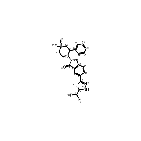 O=C1c2cc(C3=NNC(C(F)F)O3)ccc2CN1N1CCC(F)(F)CC1c1ccccc1